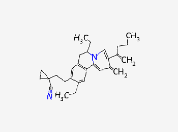 C=C1C=C2c3cc(CC)c(CCC4(C#N)CC4)cc3CC(CC)N2C=C1C(=C)CCC